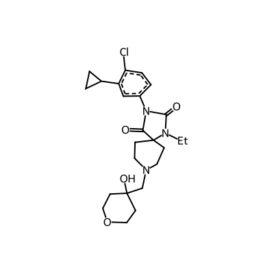 CCN1C(=O)N(c2ccc(Cl)c(C3CC3)c2)C(=O)C12CCN(CC1(O)CCOCC1)CC2